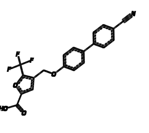 N#Cc1ccc(-c2ccc(OCc3cc(C(=O)O)oc3C(F)(F)F)cc2)cc1